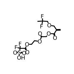 C=C(COCC(C)(F)F)C(=O)OCC(=O)OCCOC(=O)C(F)(F)S(=O)(=O)O